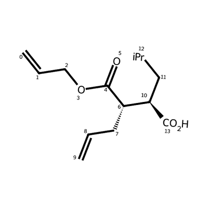 C=CCOC(=O)[C@@H](CC=C)[C@@H](CC(C)C)C(=O)O